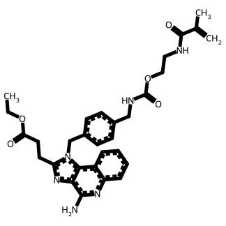 C=C(C)C(=O)NCCOC(=O)NCc1ccc(Cn2c(CCC(=O)OCC)nc3c(N)nc4ccccc4c32)cc1